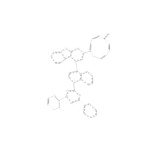 C=C1/C=C\C=C/C/C(c2cc(-c3ccc(-c4nc(C5=CC=CCC5C)nc(-c5ccccc5)n4)c4ccccc34)c3c(c2)oc2ccccc23)=C\C=C/1